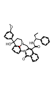 CC[C@H](NC(=O)c1c(CN2CCC(O)(c3cccc(OC)c3)CC2)n(-c2ccccc2)c(=O)c2ccccc12)c1ccccc1